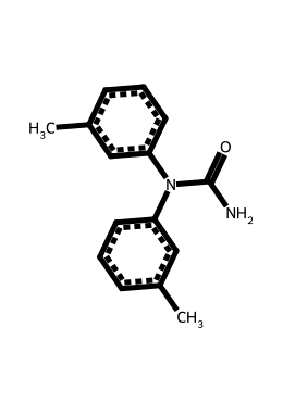 Cc1cccc(N(C(N)=O)c2cccc(C)c2)c1